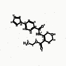 CCOC(=O)C1=C(NC(=O)c2ccc(-n3ccnc3)nn2)COCC1